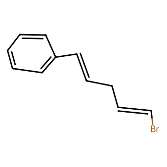 BrC=CCC=Cc1ccccc1